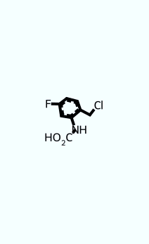 O=C(O)Nc1cc(F)ccc1CCl